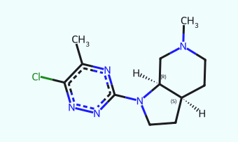 Cc1nc(N2CC[C@@H]3CCN(C)C[C@@H]32)nnc1Cl